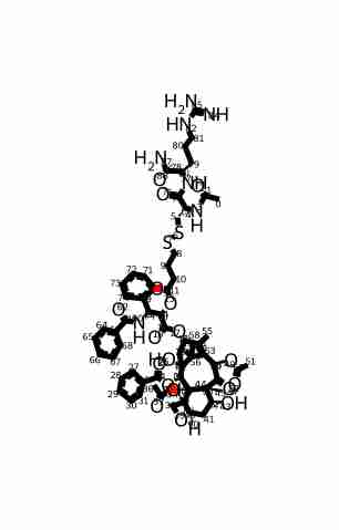 CC(=O)N[C@H](CSSCCCC(=O)O[C@@H](C(=O)O[C@H]1C[C@@]2(O)[C@@H](OC(=O)c3ccccc3)[C@@H]3[C@]4(OC(C)=O)CO[C@@H]4C[C@H](O)[C@@]3(C)C(=O)[C@H](OC(C)=O)C(=C1C)C2(C)C)[C@@H](NC(=O)c1ccccc1)c1ccccc1)C(=O)N[C@H](CCCNC(=N)N)C(N)=O